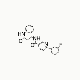 O=C1CC(NC(=O)c2ccc(-c3cccc(F)c3)nc2)c2ccccc2N1